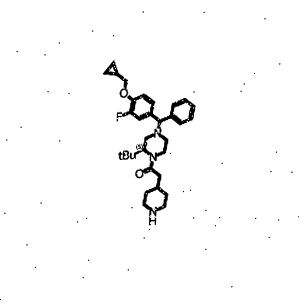 CC(C)(C)[C@H]1CN(C(c2ccccc2)c2ccc(OCC3CC3)c(F)c2)CCN1C(=O)CC1CCNCC1